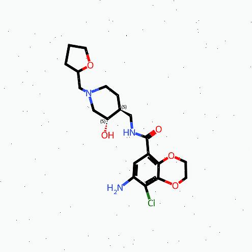 Nc1cc(C(=O)NC[C@@H]2CCN(CC3CCCO3)C[C@H]2O)c2c(c1Cl)OCCO2